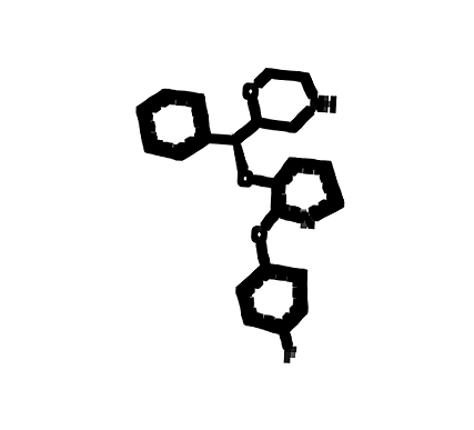 Fc1ccc(Oc2ncccc2O[C@@H](c2ccccc2)C2CNCCO2)cc1